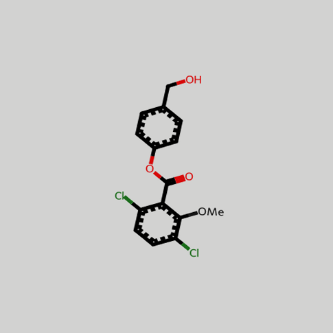 COc1c(Cl)ccc(Cl)c1C(=O)Oc1ccc(CO)cc1